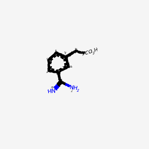 N=C(N)c1cccc(CC(=O)O)c1